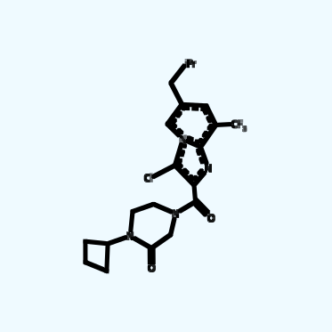 CC(C)Cc1cc(C(F)(F)F)c2nc(C(=O)N3CCN(C4CCC4)C(=O)C3)c(Cl)n2c1